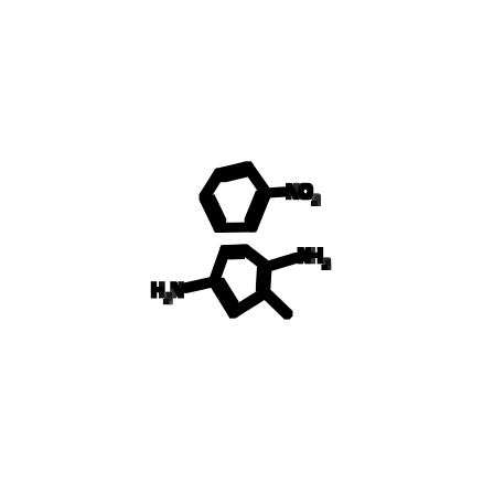 Cc1cc(N)ccc1N.O=[N+]([O-])c1ccccc1